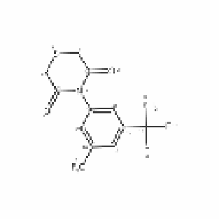 O=C1CSCC(=O)N1c1cc(C(F)(F)F)cc(C(F)(F)P)c1